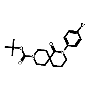 CC(C)(C)OC(=O)N1CCC2(CCCN(c3ccc(Br)cc3)C2=O)CC1